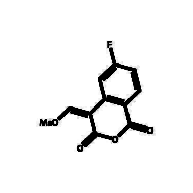 CO/C=C1\C(=O)OC(=O)c2ccc(F)cc21